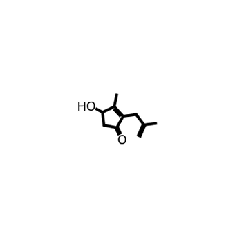 C=C(C)CC1=C(C)C(O)CC1=O